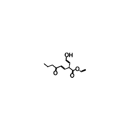 C=COC(=O)C(C=CO)C=CC(=O)CCC